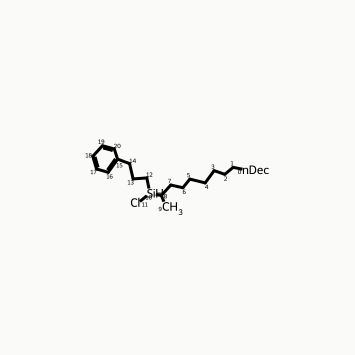 CCCCCCCCCCCCCCCCCC(C)[SiH](Cl)CCCc1ccccc1